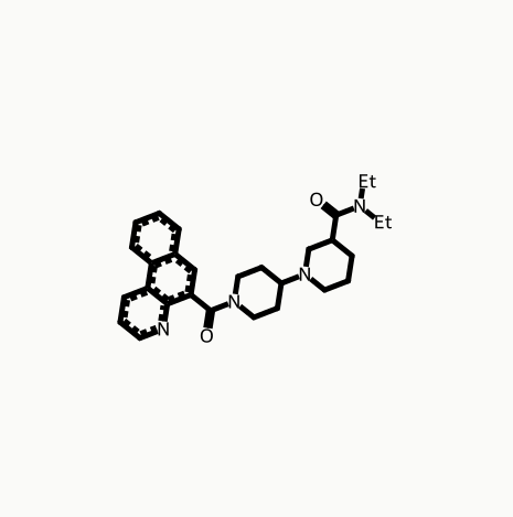 CCN(CC)C(=O)C1CCCN(C2CCN(C(=O)c3cc4ccccc4c4cccnc34)CC2)C1